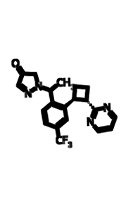 CC(c1ccc(C(F)(F)F)cc1[C@H]1CC[C@@H]1c1ncccn1)N1CC(=O)C=N1